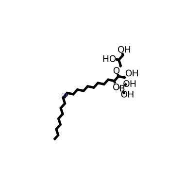 CCCCCCCC/C=C\CCCCCCCCC(OB(O)O)C(CO)OCC(O)CO